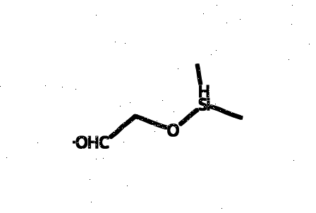 C[SiH](C)OC[C]=O